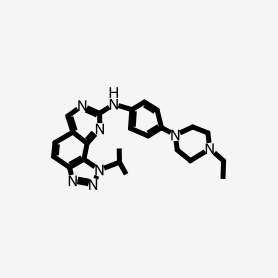 CCN1CCN(c2ccc(Nc3ncc4ccc5nnn(C(C)C)c5c4n3)cc2)CC1